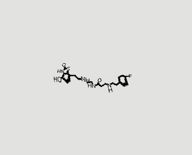 O=C(CCNCCc1ccc(F)cc1)NCCNCCc1ccc(O)c2[nH]c(=O)sc12